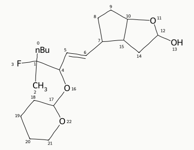 CCCCC(C)(F)C(/C=C/C1CCC2OC(O)CC12)OC1CCCCO1